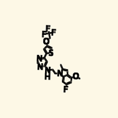 COc1cc(F)cc2c1cc(C)n2CCNc1cc(-c2cc(OCC(F)(F)F)cs2)ncn1